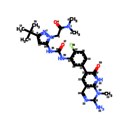 CN(C)C(=O)Cn1nc(C(C)(C)C)cc1NC(=O)Nc1cc(-c2cc3c([nH]c2=O)N(C)C(N)N=C3)ccc1F